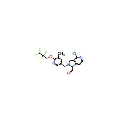 Cc1cc(CN2Cc3c(ccnc3Cl)C2C=O)cnc1OCC(F)(F)C(F)F